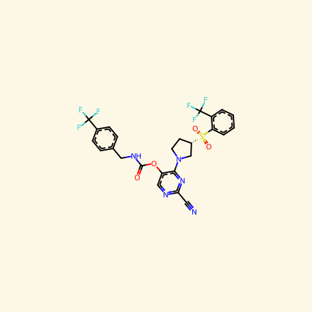 N#Cc1ncc(OC(=O)NCc2ccc(C(F)(F)F)cc2)c(N2CC[C@H](S(=O)(=O)c3ccccc3C(F)(F)F)C2)n1